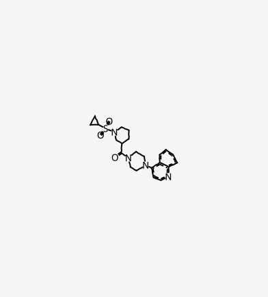 O=C(C1CCCN(S(=O)(=O)C2CC2)C1)N1CCN(c2ccnc3ccccc23)CC1